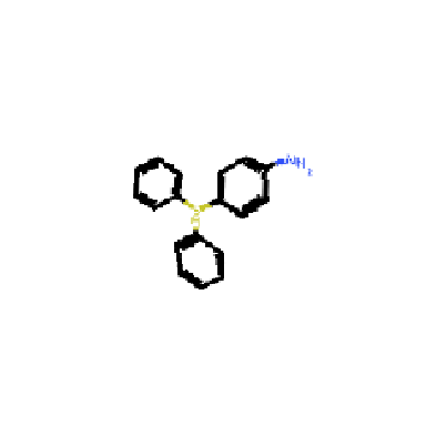 Nc1ccc([SH](c2ccccc2)c2ccccc2)cc1